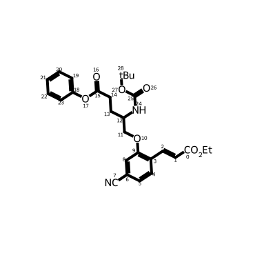 CCOC(=O)C=Cc1ccc(C#N)cc1OCC(CCC(=O)Oc1ccccc1)NC(=O)OC(C)(C)C